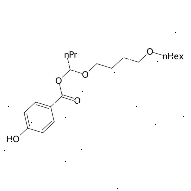 CCCCCCOCCCCOC(CCC)OC(=O)c1ccc(O)cc1